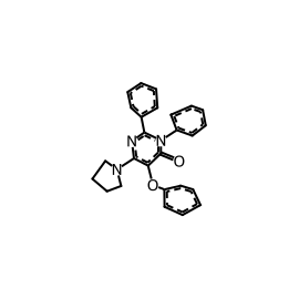 O=c1c(Oc2ccccc2)c(N2CCCC2)nc(-c2ccccc2)n1-c1ccccc1